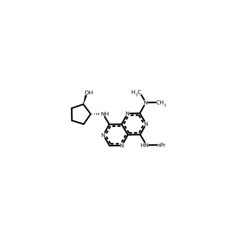 CCCNc1nc(N(C)C)nc2c(N[C@@H]3CCC[C@H]3O)ncnc12